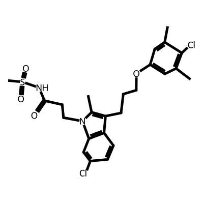 Cc1cc(OCCCc2c(C)n(CCC(=O)NS(C)(=O)=O)c3cc(Cl)ccc23)cc(C)c1Cl